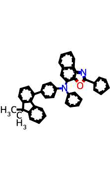 CC1(C)c2ccccc2-c2c(-c3ccc(N(c4ccccc4)c4cc5ccccc5c5nc(-c6ccccc6)oc45)cc3)cccc21